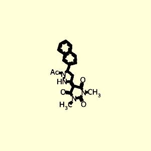 CC(=O)N1NC(=C2C(=O)N(C)C(=O)N(C)C2=O)CC1c1ccc2ccccc2c1